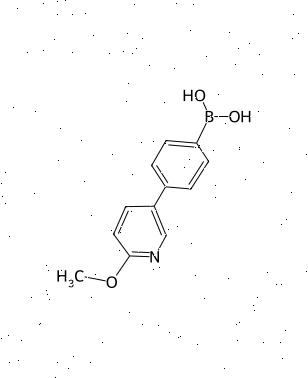 COc1ccc(-c2ccc(B(O)O)cc2)cn1